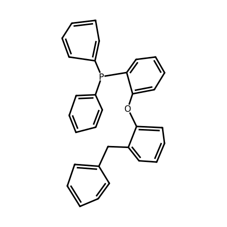 c1ccc(Cc2ccccc2Oc2ccccc2P(c2ccccc2)c2ccccc2)cc1